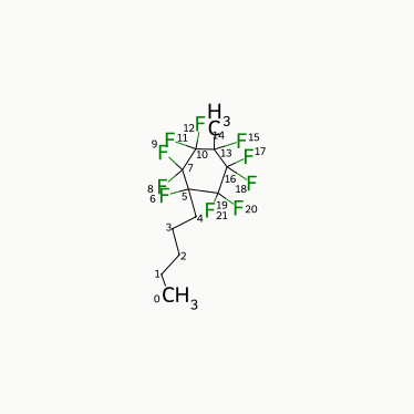 CCCCCC1(F)C(F)(F)C(F)(F)C(C)(F)C(F)(F)C1(F)F